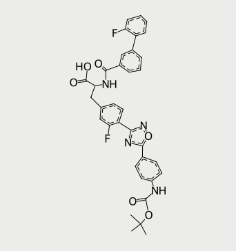 CC(C)(C)OC(=O)Nc1ccc(-c2nc(-c3ccc(CC(NC(=O)c4cccc(-c5ccccc5F)c4)C(=O)O)cc3F)no2)cc1